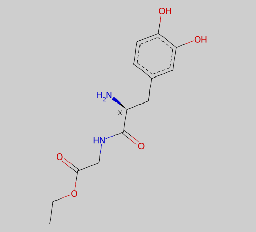 CCOC(=O)CNC(=O)[C@@H](N)Cc1ccc(O)c(O)c1